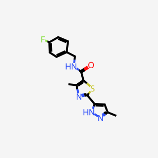 Cc1cc(-c2nc(C)c(C(=O)NCc3ccc(F)cc3)s2)[nH]n1